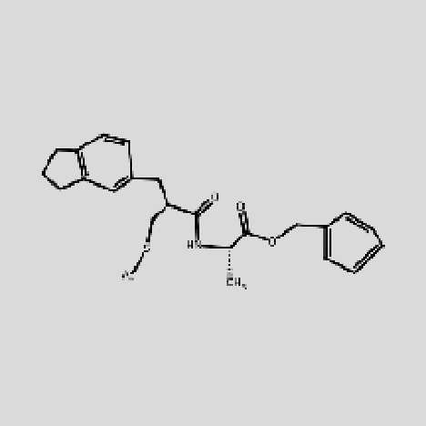 CC(=O)SC[C@@H](Cc1ccc2c(c1)CCC2)C(=O)N[C@@H](C)C(=O)OCc1ccccc1